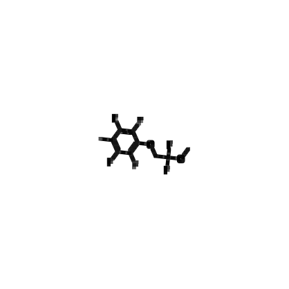 COC(F)(F)COc1c(F)c(F)c(C)c(F)c1F